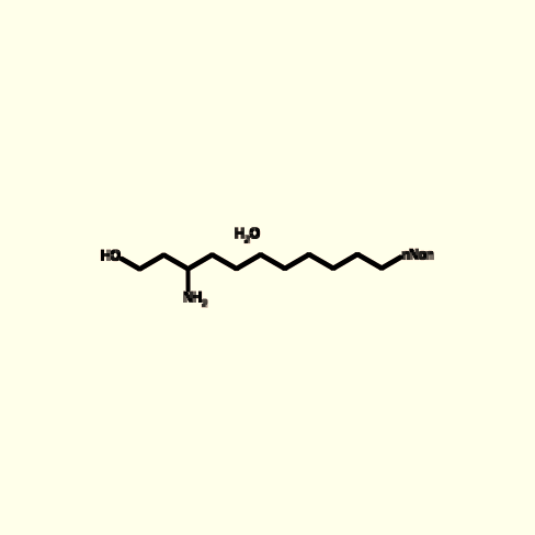 CCCCCCCCCCCCCCCCCC(N)CCO.O